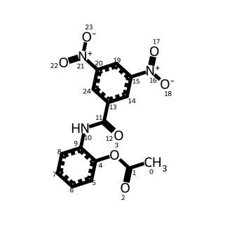 CC(=O)Oc1ccccc1NC(=O)c1cc([N+](=O)[O-])cc([N+](=O)[O-])c1